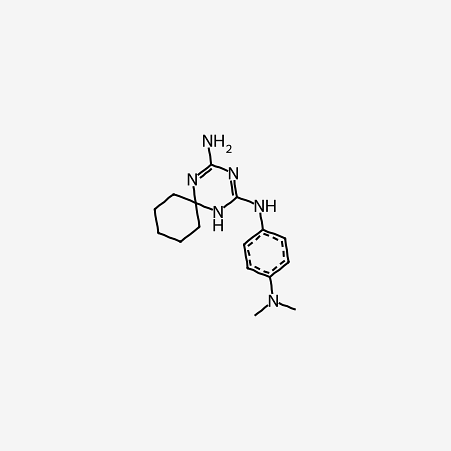 CN(C)c1ccc(NC2=NC(N)=NC3(CCCCC3)N2)cc1